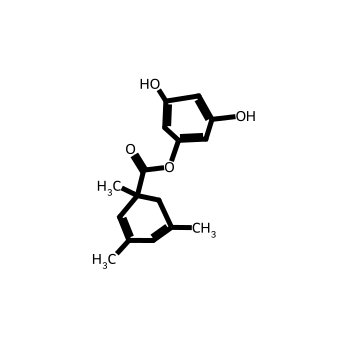 CC1=CC(C)(C(=O)Oc2cc(O)cc(O)c2)CC(C)=C1